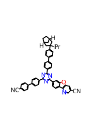 CC(C)C1(c2ccc(-c3ccc(-c4nc(-c5ccc(-c6ccc(C#N)cc6)cc5)nc(-c5ccc6c(c5)oc5cc(C#N)cnc56)n4)cc3)cc2)C[C@@H]2CC[C@@H](C2)C1